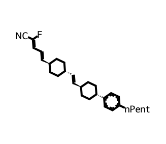 CCCCCc1ccc([C@H]2CC[C@H](/C=C/[C@H]3CC[C@H](C=CC=C(F)C#N)CC3)CC2)cc1